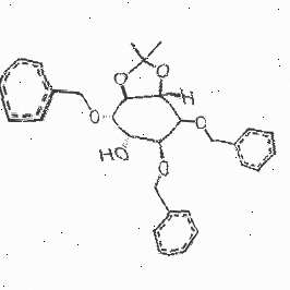 CC1(C)OC2[C@H](O1)C(OCc1ccccc1)[C@@H](OCc1ccccc1)[C@H](O)[C@@H]2OCc1ccccc1